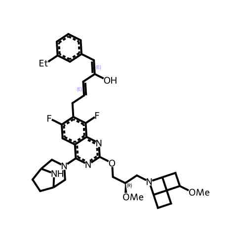 CCc1cccc(/C=C(O)\C=C\Cc2c(F)cc3c(N4CC5CCC(C4)N5)nc(OC[C@@H](CN4C5CCC56C(OC)CC46)OC)nc3c2F)c1